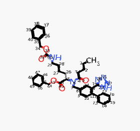 CCCCC(=O)N(Cc1ccc(-c2ccccc2)c(-c2nnn[nH]2)c1)[C@@H](CCCCNC(=O)OCc1ccccc1)C(=O)OCc1ccccc1